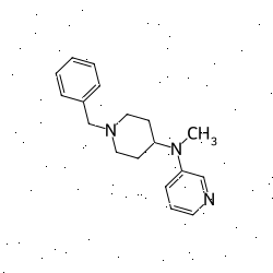 CN(c1cccnc1)C1CCN(Cc2ccccc2)CC1